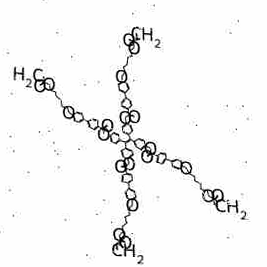 C=CC(=O)OCCCCCCOc1ccc(-c2ccc(C(=O)Oc3ccc(C(=C(c4ccc(OC(=O)c5ccc(-c6ccc(OCCCCCCOC(=O)C=C)cc6)cc5)cc4)c4ccc(OC(=O)c5ccc(-c6ccc(OCCCCCCOC(=O)C=C)cc6)cc5)cc4)c4ccc(OC(=O)c5ccc(-c6ccc(OCCCCCCOC(=O)C=C)cc6)cc5)cc4)cc3)cc2)cc1